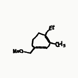 CCC1=C(C)C=C(COC)CC1